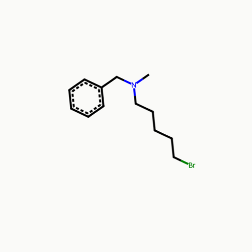 CN(CCCCCBr)Cc1ccccc1